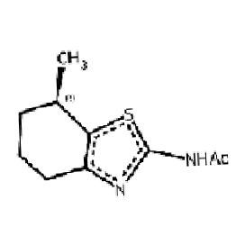 CC(=O)Nc1nc2c(s1)[C@H](C)CCC2